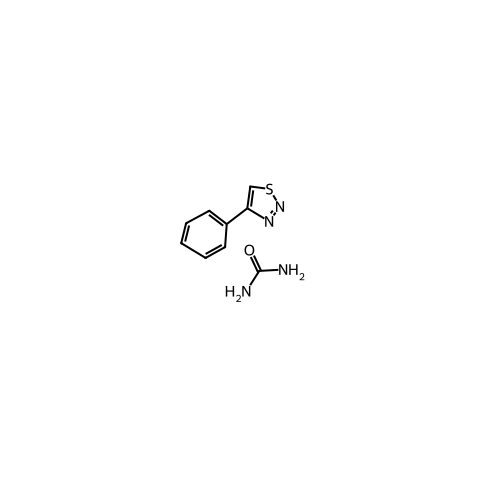 NC(N)=O.c1ccc(-c2csnn2)cc1